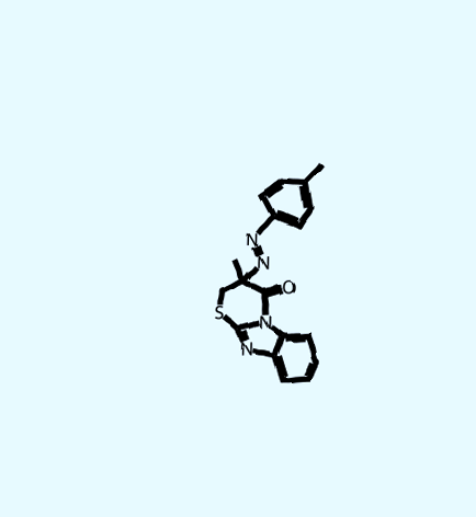 Cc1ccc(N=NC2(C)CSc3nc4ccccc4n3C2=O)cc1